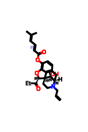 C=CCN1CC[C@]23c4c(ccc(OC(=O)/C=C/C=C(C)C)c4O[C@H]2C(=O)CC)C[C@@H]1[C@@]3(C)O